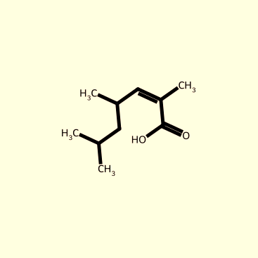 CC(=CC(C)CC(C)C)C(=O)O